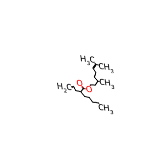 C=CCC(CCCCC)C(=O)OCCC(C)CCC=C(C)C